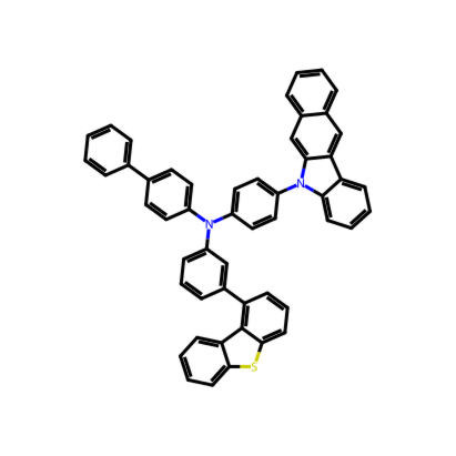 c1ccc(-c2ccc(N(c3ccc(-n4c5ccccc5c5cc6ccccc6cc54)cc3)c3cccc(-c4cccc5sc6ccccc6c45)c3)cc2)cc1